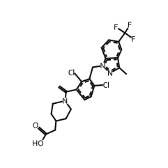 C=C(c1ccc(Cl)c(Cn2nc(C)c3cc(C(F)(F)F)ccc32)c1Cl)N1CCC(CC(=O)O)CC1